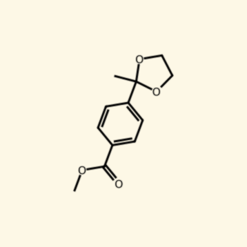 COC(=O)c1ccc(C2(C)OCCO2)cc1